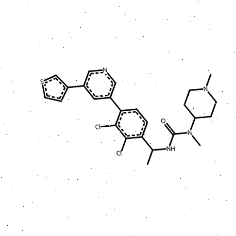 CC(NC(=O)N(C)C1CCN(C)CC1)c1ccc(-c2cncc(-c3ccsc3)c2)c(Cl)c1Cl